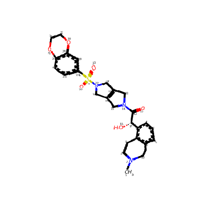 CN1CCc2c(cccc2[C@H](O)C(=O)N2CC3=C(C2)CN(S(=O)(=O)c2ccc4c(c2)OCCO4)C3)C1